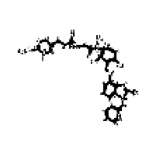 CCc1nc2c(OCc3c(Cl)ccc(N(C)C(=O)CNC(=O)CCC4CN=C(NC(C)=O)NC4)c3Cl)cccc2n1Cc1ccccn1